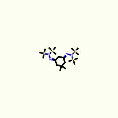 CC1(C)CC(=NN([Si](C)(C)C)[Si](C)(C)C)CC(=NN([Si](C)(C)C)[Si](C)(C)C)C1